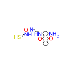 CN(CCCNc1ccc(N)c2c1C(=O)c1ccccc1C2=O)CC(=O)NCCS